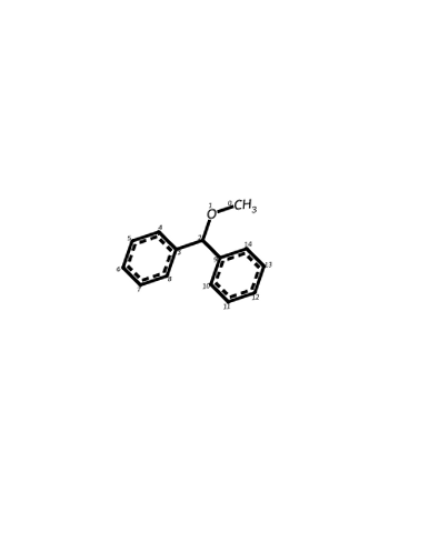 COC(c1[c]cccc1)c1ccccc1